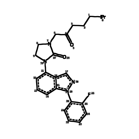 CC(C)CCCC(=O)CN1CCN(c2cccc3c2cnn3-c2ccccc2F)C1=O